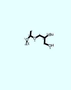 CCOC(C)OCC(CO)C(C)(C)C